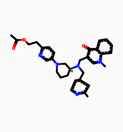 CC(=O)OCCc1ccc(N2CCC[C@H](N(Cc3ccnc(C)c3)Cc3cn(C)c4ccccc4c3=O)C2)cn1